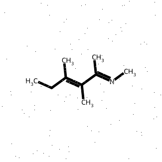 CC/C(C)=C(C)/C(C)=N/C